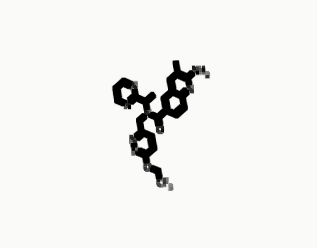 Cc1cc2cc(C(=O)N(Cc3ccc(OCC(F)(F)F)nn3)C(C)c3ncccn3)ccc2nc1N